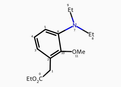 CCOC(=O)Cc1cccc(N(CC)CC)c1OC